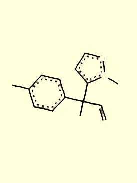 C=CC(O)(c1ccc(Cl)cc1)c1ccnn1CCCC